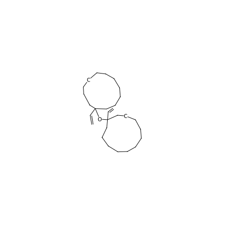 C=CC1(OC2(C=C)CCCCCCCCCCC2)CCCCCCCCCCC1